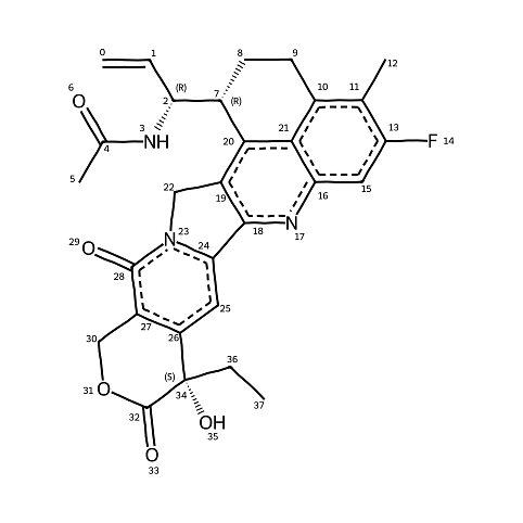 C=C[C@@H](NC(C)=O)[C@@H]1CCc2c(C)c(F)cc3nc4c(c1c23)Cn1c-4cc2c(c1=O)COC(=O)[C@]2(O)CC